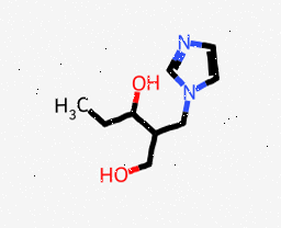 CCC(O)C(CO)Cn1ccnc1